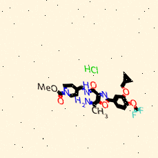 COC(=O)N1CCC(CNC(=O)c2nc(-c3ccc(OC(F)F)c(OCC4CC4)c3)oc2C(C)N)CC1.Cl